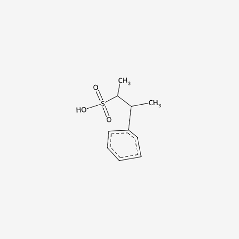 CC(c1ccccc1)C(C)S(=O)(=O)O